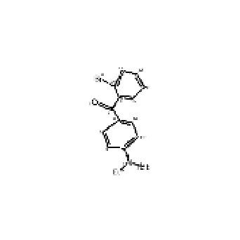 CCN(CC)c1ccc(C(=O)c2ccccc2Br)cc1